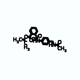 CC(=O)NCc1ccc(NS(=O)(=O)C2CCCC=C2C(=O)OC(C)C)cc1